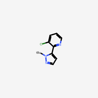 CC(C)(C)n1nc[c]c1-c1ncccc1Cl